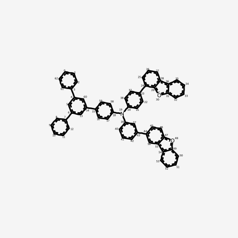 c1ccc(-c2cc(-c3ccccc3)cc(-c3ccc(N(c4ccc(-c5cccc6c5oc5ccccc56)cc4)c4cccc(-c5ccc6oc7ccccc7c6c5)c4)cc3)c2)cc1